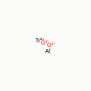 [Al].[O-2].[O-2].[Ti+4]